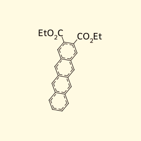 CCOC(=O)c1cc2cc3cc4ccccc4cc3cc2cc1C(=O)OCC